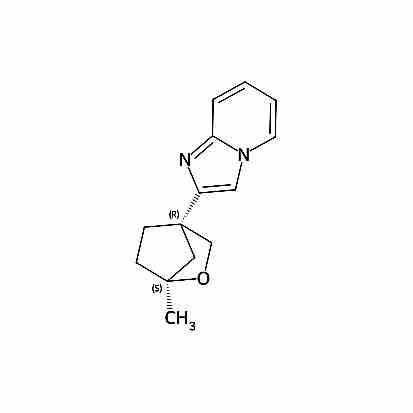 C[C@@]12CC[C@@](c3cn4ccccc4n3)(CO1)C2